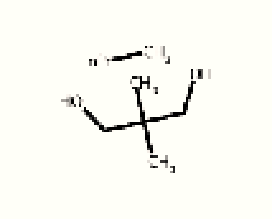 CC(C)(CO)CO.CCCC